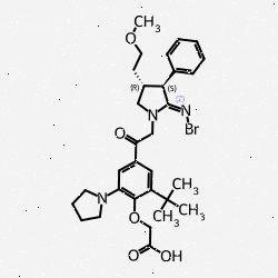 COCC[C@H]1CN(CC(=O)c2cc(N3CCCC3)c(OCC(=O)O)c(C(C)(C)C)c2)/C(=N\Br)[C@@H]1c1ccccc1